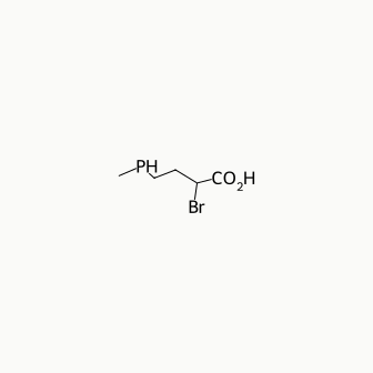 CPCCC(Br)C(=O)O